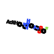 CC(=O)Nc1ccc(-c2ccnc(Nc3ccc(N4CCN(S(=O)(=O)c5cccc(F)c5)CC4)cc3)n2)cc1